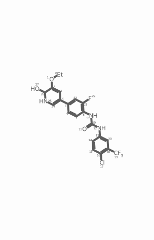 CCOC1=CC(c2ccc(NC(=O)Nc3ccc(Cl)c(C(F)(F)F)c3)c(F)c2)=CNC1O